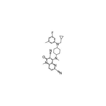 Cc1cc(F)cc(N(CC2CC2)C2CCC(N(C)c3c(C#N)c(=O)n(C)c4ccc(C#N)nc34)CC2)c1